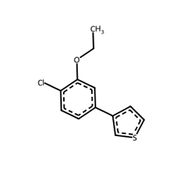 CCOc1cc(-c2ccsc2)ccc1Cl